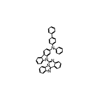 c1ccc(-c2ccc(N(c3ccccc3)c3ccc4c5ccccc5n(-c5nc6ccccc6c6nc7ccccc7n56)c4c3)cc2)cc1